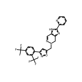 FC(F)(F)c1ccc(-c2cc(CN3Cc4nc(-c5ccccn5)[nH]c4C=N3)on2)c(C(F)(F)F)c1